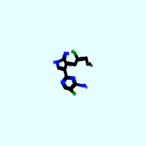 C/C=C(Cl)\C=C1/C(=N)NC=C1c1ncc(F)c(N)n1